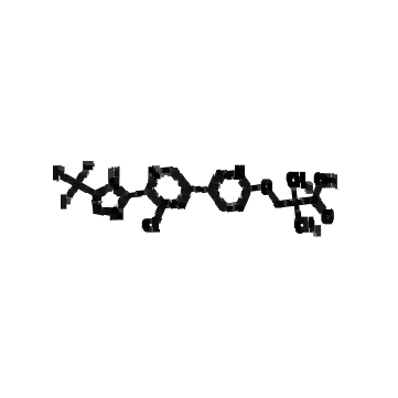 CC(C)(COc1ccc(-c2cnc(-c3ncc(C(F)(F)F)[nH]3)c(Cl)c2)cn1)C(=O)O